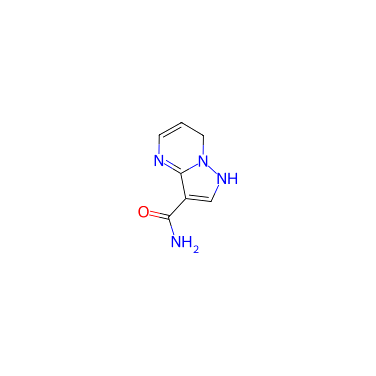 NC(=O)C1=CNN2CC=CN=C12